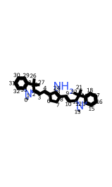 CN1/C(=C/C=C2\CCC(/C=C/C3=[N+](C)c4ccccc4C3(C)C)=C2N)C(C)(C)c2ccccc21